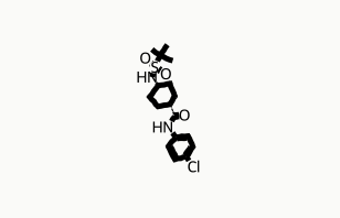 CC(C)(C)S(=O)(=O)N[C@H]1CC[C@H](C(=O)Nc2ccc(Cl)cc2)CC1